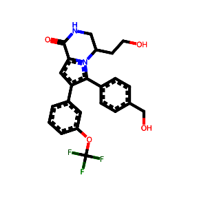 O=C1NCC(CCO)n2c1cc(-c1cccc(OC(F)(F)F)c1)c2-c1ccc(CO)cc1